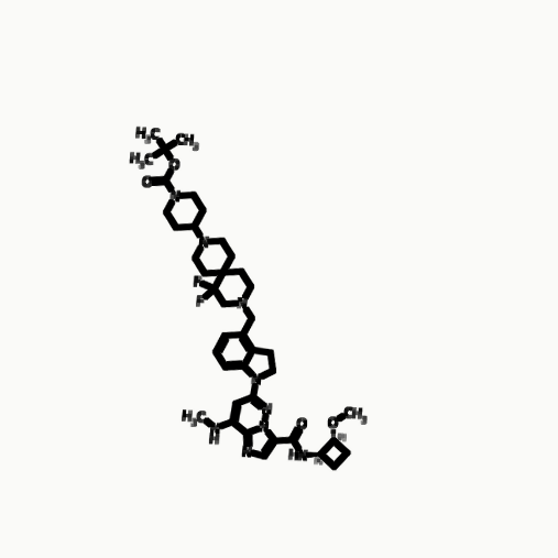 CNc1cc(N2CCc3c(CN4CCC5(CCN(C6CCN(C(=O)OC(C)(C)C)CC6)CC5)C(F)(F)C4)cccc32)nn2c(C(=O)N[C@@H]3CC[C@H]3OC)cnc12